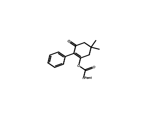 CCCCCC(=O)OC1=C(c2ccccc2)C(=O)CC(C)(C)C1